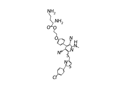 CNc1nc(SCc2csc(-c3ccc(Cl)cc3)n2)c(C#N)c(-c2ccc(OCCOC(=O)[C@@H](N)CCCN)cc2)c1C#N